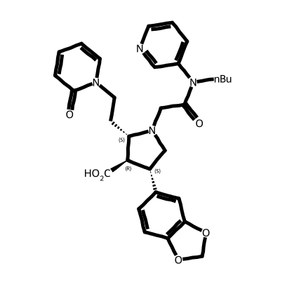 CCCCN(C(=O)CN1C[C@H](c2ccc3c(c2)OCO3)[C@@H](C(=O)O)[C@@H]1CCn1ccccc1=O)c1cccnc1